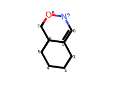 C1=C2CCCCC2CO[N]1